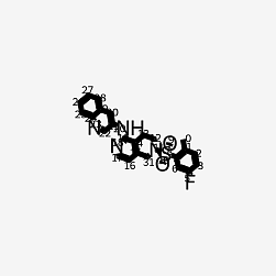 Cc1ccc(F)cc1S(=O)(=O)N1CCc2c(ccnc2Nc2cnc3ccccc3c2)C1